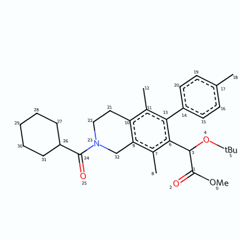 COC(=O)C(OC(C)(C)C)c1c(C)c2c(c(C)c1-c1ccc(C)cc1)CCN(C(=O)C1CCCCC1)C2